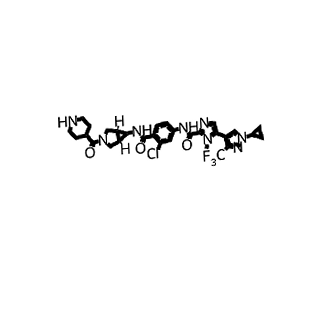 Cn1c(-c2cn(C3CC3)nc2C(F)(F)F)cnc1C(=O)Nc1ccc(C(=O)NC2[C@H]3CN(C(=O)C4CCNCC4)C[C@@H]23)c(Cl)c1